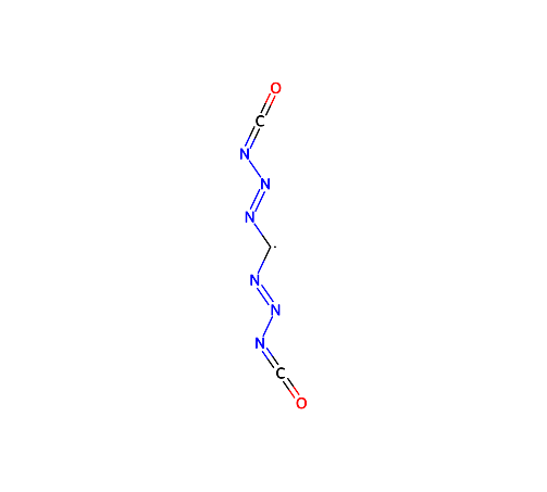 O=C=NN=N[CH]N=NN=C=O